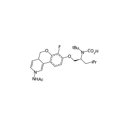 CC(=O)NN1C=CC2COc3c(ccc(OC[C@H](CC(C)C)N(C(=O)O)C(C)(C)C)c3F)C2=C1